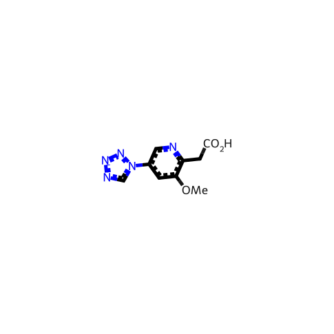 COc1cc(-n2cnnn2)cnc1CC(=O)O